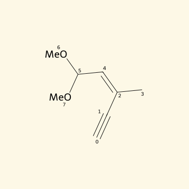 C#CC(C)=CC(OC)OC